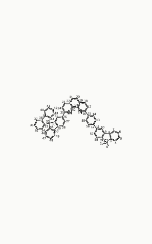 C[Si]1(C)c2ccccc2-c2cc(-c3ccc(-c4ccc5ccc6ccc(-c7ccc8c(c7)C7(c9ccccc9-c9ccccc97)c7ccccc7-8)nc6c5n4)cc3)ccc21